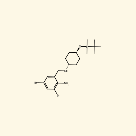 CC(C)(C)[Si](C)(C)O[C@H]1CC[C@H](NCc2cc(Br)cc(Br)c2N)CC1